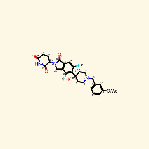 COc1cccc(CN2CCC(O)(c3c(F)cc4c(c3F)CN(C3CCC(=O)NC3=O)C4=O)CC2)c1